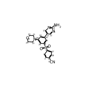 N#Cc1ccc(S(=O)(=O)c2cc(-c3cnc(N)nc3)cc(N3CCOCC3)c2)cc1